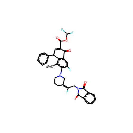 COc1c2c(cc(F)c1N1CCC/C(=C(\F)CN3C(=O)c4ccccc4C3=O)C1)C(=O)C(C(=O)OB(F)F)=CC2c1ccccc1